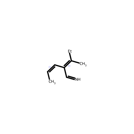 C/C=C\C(C=N)=C(\C)CC